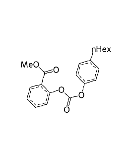 CCCCCCc1ccc(OC(=O)Oc2ccccc2C(=O)OC)cc1